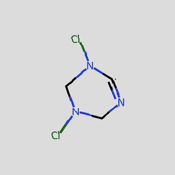 ClN1[C]=NCN(Cl)C1